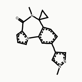 CN1C(=O)c2cccn2-c2cc(-c3cnn(C)c3)ccc2C12CC2